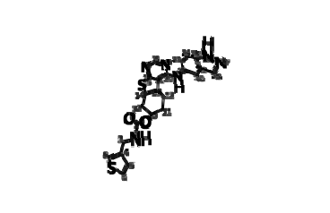 O=C(NCc1ccsc1)OC1CCc2c(sc3ncnc(Nc4ccc5[nH]ncc5c4)c23)C1